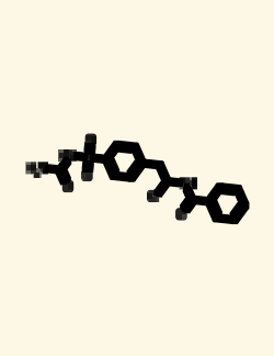 NC(=O)NS(=O)(=O)c1ccc(CC(Cl)NC(=O)c2ccccc2)cc1